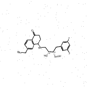 CC(=O)N[C@@H](Cc1cc(F)cc(F)c1)[C@H](O)CNC1CCC(=O)c2ccc(CC(C)(C)C)cc21